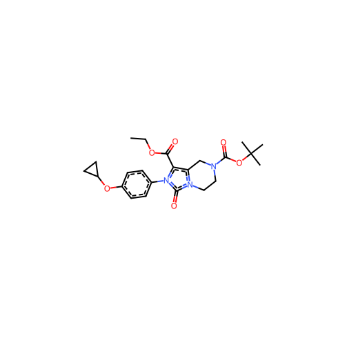 CCOC(=O)c1c2n(c(=O)n1-c1ccc(OC3CC3)cc1)CCN(C(=O)OC(C)(C)C)C2